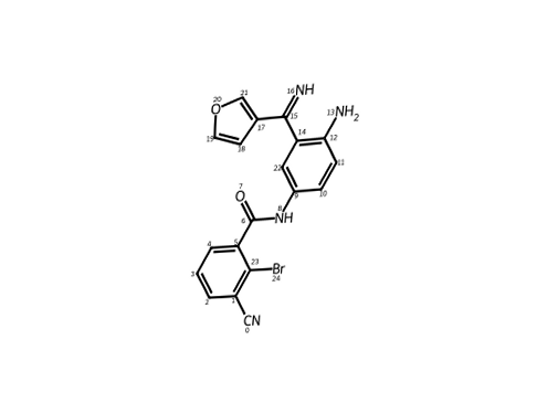 N#Cc1cccc(C(=O)Nc2ccc(N)c(C(=N)c3ccoc3)c2)c1Br